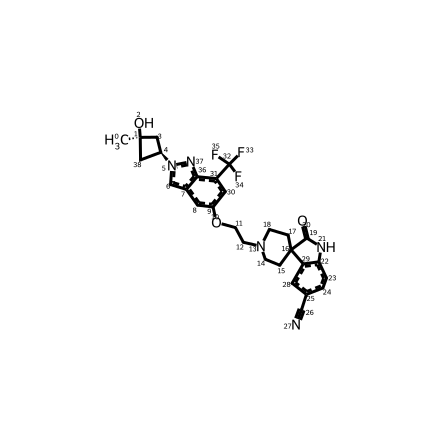 C[C@]1(O)C[C@@H](n2cc3cc(OCCN4CCC5(CC4)C(=O)Nc4ccc(C#N)cc45)cc(C(F)(F)F)c3n2)C1